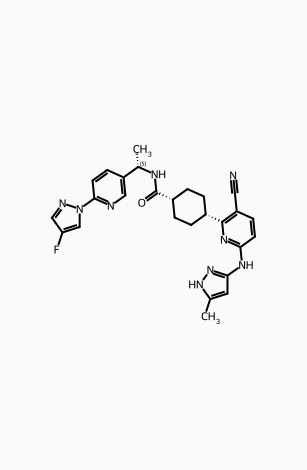 Cc1cc(Nc2ccc(C#N)c([C@H]3CC[C@@H](C(=O)N[C@@H](C)c4ccc(-n5cc(F)cn5)nc4)CC3)n2)n[nH]1